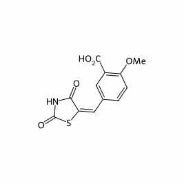 COc1ccc(C=C2SC(=O)NC2=O)cc1C(=O)O